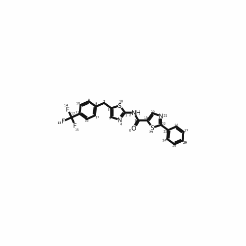 O=C(Nc1ncc(Cc2ccc(C(F)(F)F)cc2)s1)c1cnc(-c2ccccc2)s1